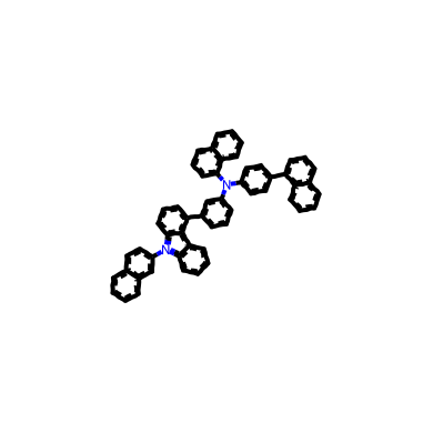 c1cc(-c2cccc3c2c2ccccc2n3-c2ccc3ccccc3c2)cc(N(c2ccc(-c3cccc4ccccc34)cc2)c2cccc3ccccc23)c1